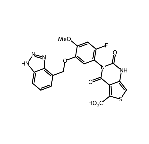 COc1cc(F)c(-n2c(=O)[nH]c3csc(C(=O)O)c3c2=O)cc1OCc1cccc2[nH]nnc12